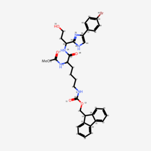 COC(=O)NC(CCCCNC(=O)OCC1c2ccccc2-c2ccccc21)C(=O)NC(CCO)c1nc(-c2ccc(Br)cc2)c[nH]1